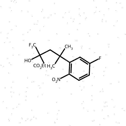 CCOC(=O)C(O)(CC(C)(C)c1cc(F)ccc1[N+](=O)[O-])C(F)(F)F